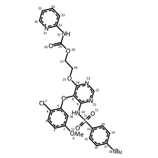 COc1ccc(Cl)c(Oc2c(NS(=O)(=O)c3ccc(C(C)(C)C)cc3)ncnc2OCCOC(=O)Nc2ccccn2)c1